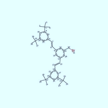 CC(C)(C)c1cc(C=Cc2cc(C=Cc3cc(C(C)(C)C)cc(C(C)(C)C)c3)cc(CBr)c2)cc(C(C)(C)C)c1